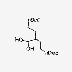 CCCCCCCCCCCC[C](CCCCCCCCCCCC)C(O)O